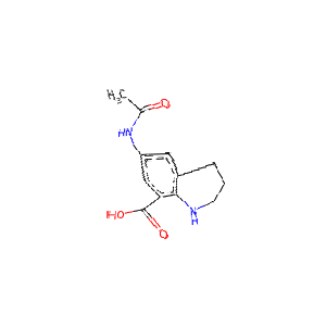 CC(=O)Nc1cc2c(c(C(=O)O)c1)NCCC2